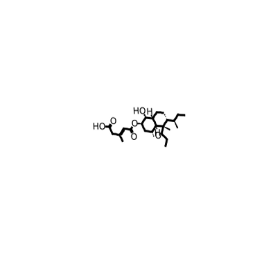 CCC(=O)[C@]1(C)[C@@H]2[C@@H](CC[C@@H]1[C@H](C)CC)[C@H](O)[C@H](OC(=O)/C=C(\C)CC(=O)O)C[C@H]2C